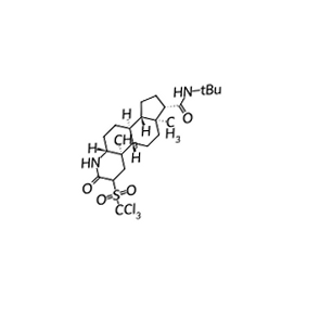 CC(C)(C)NC(=O)[C@H]1CC[C@H]2[C@@H]3CC[C@H]4NC(=O)C(S(=O)(=O)C(Cl)(Cl)Cl)C[C@]4(C)[C@H]3CC[C@]12C